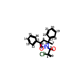 C=C(Cl)C(=O)NC(C)(CC(=O)c1ccccc1)c1ccccc1